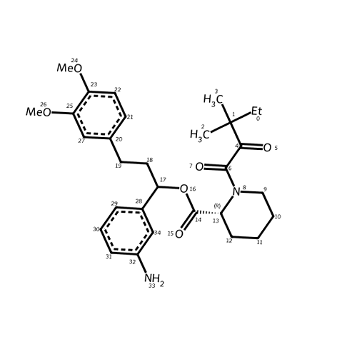 CCC(C)(C)C(=O)C(=O)N1CCCC[C@@H]1C(=O)OC(CCc1ccc(OC)c(OC)c1)c1cccc(N)c1